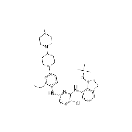 CCc1cc(N2CCC(N3CCN(C)CC3)CC2)ccc1Nc1ncc(Cl)c(Nc2cccc3c2N(SC(C)(C)C)CC3)n1